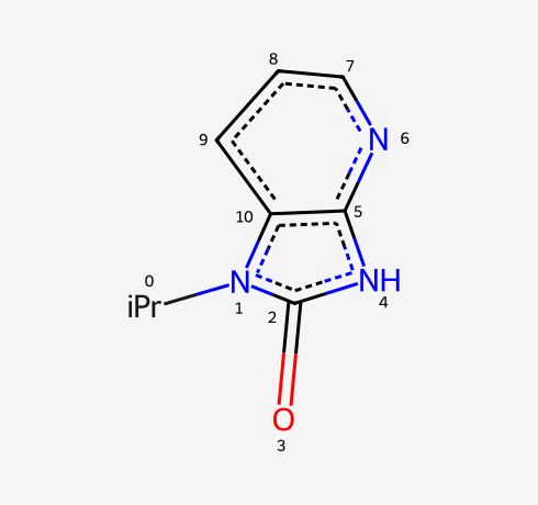 CC(C)n1c(=O)[nH]c2ncccc21